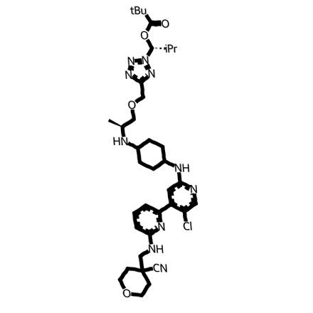 CC(C)[C@@H](OC(=O)C(C)(C)C)n1nnc(COC[C@H](C)NC2CCC(Nc3cc(-c4cccc(NCC5(C#N)CCOCC5)n4)c(Cl)cn3)CC2)n1